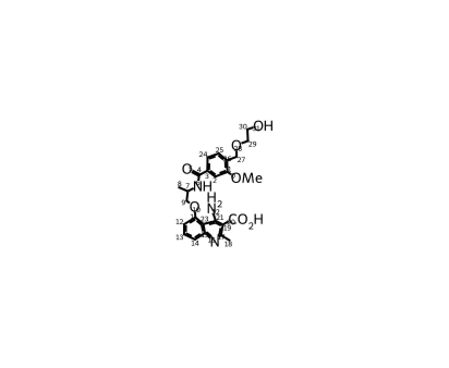 COc1cc(C(=O)NC(C)COc2cccc3nc(C)c(C(=O)O)c(N)c23)ccc1COCCO